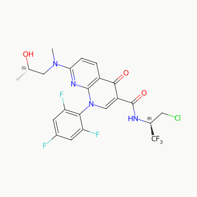 C[C@H](O)CN(C)c1ccc2c(=O)c(C(=O)N[C@@H](CCl)C(F)(F)F)cn(-c3c(F)cc(F)cc3F)c2n1